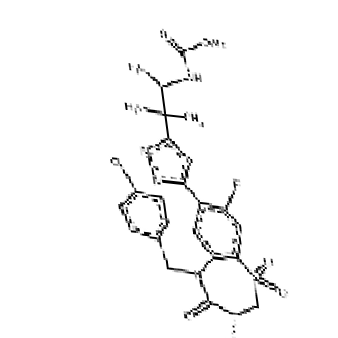 COC(=O)NC(C(F)(F)F)C(C)(C)c1nnc(-c2cc3c(cc2F)S(=O)(=O)C[C@H](N)C(=O)N3Cc2ccc(Cl)cc2)o1